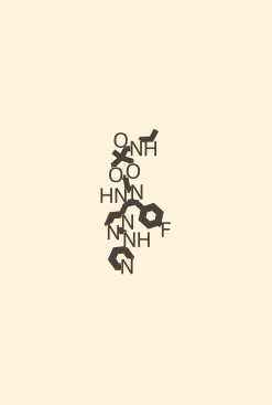 CCCNC(=O)C1(C)COC(c2nc(-c3ccc(F)cc3)c(-c3ccnc(Nc4cccnc4)n3)[nH]2)OC1